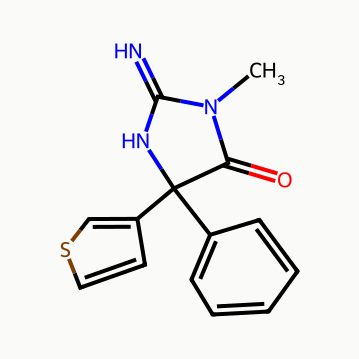 CN1C(=N)NC(c2ccccc2)(c2ccsc2)C1=O